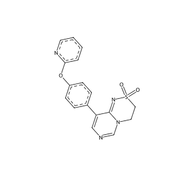 O=S1(=O)CCN2C=NC=C(c3ccc(Oc4ccccn4)cc3)C2=N1